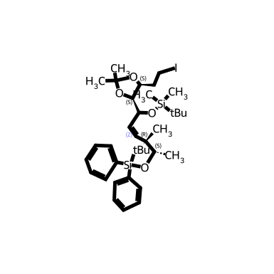 C[C@H](/C=C\C(O[Si](C)(C)C(C)(C)C)[C@H]1OC(C)(C)O[C@H]1CCI)[C@H](C)O[Si](c1ccccc1)(c1ccccc1)C(C)(C)C